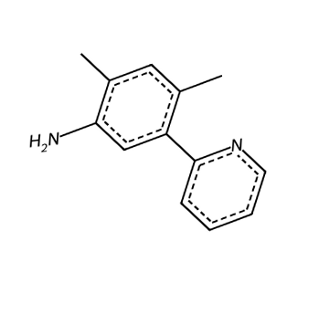 Cc1cc(C)c(-c2ccccn2)cc1N